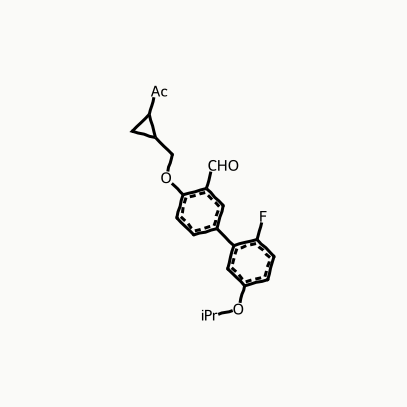 CC(=O)C1CC1COc1ccc(-c2cc(OC(C)C)ccc2F)cc1C=O